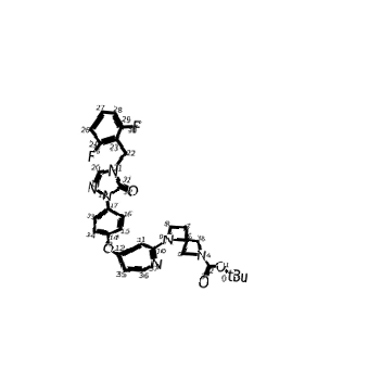 CC(C)(C)OC(=O)N1CC2(CCN2c2cc(Oc3ccc(-n4ncn(Cc5c(F)cccc5F)c4=O)cc3)ccn2)C1